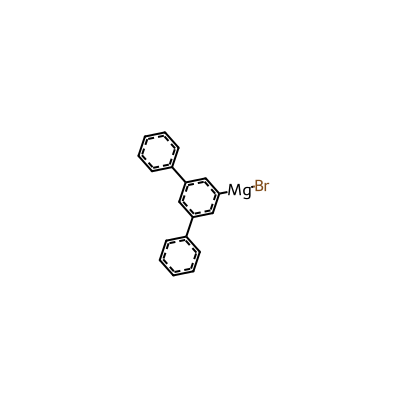 [Br][Mg][c]1cc(-c2ccccc2)cc(-c2ccccc2)c1